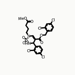 COC(=O)CCCN1C=C(C(=O)OCc2ccc(Cl)cc2Cl)C(c2ccc(Cl)cc2Cl)NS1(=O)=O